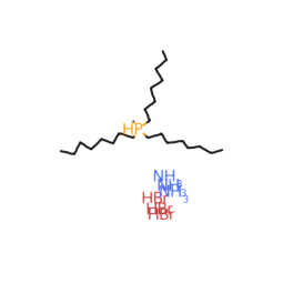 Br.Br.Br.CCCCCCCC[PH](C)(CCCCCCCC)CCCCCCCC.N.N.N